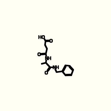 CC(NC(=O)CCC(=O)O)C(=O)NCc1ccccc1